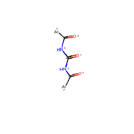 CC(=O)C(=O)NC(=O)NC(=O)C(C)=O